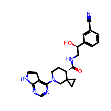 N#Cc1cccc([C@H](O)CNC(=O)[C@H]2CCN(c3ncnc4[nH]ccc34)CC23CC3)c1